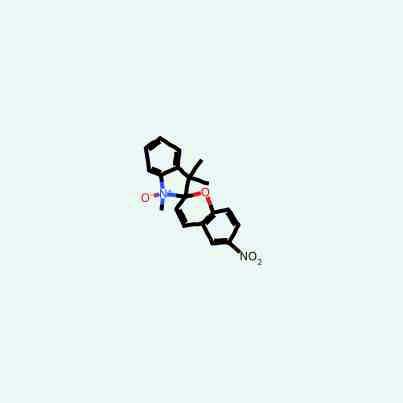 CC1(C)c2ccccc2[N+](C)([O-])C12C=Cc1cc([N+](=O)[O-])ccc1O2